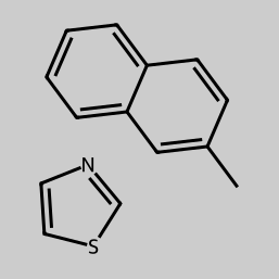 Cc1ccc2ccccc2c1.c1cscn1